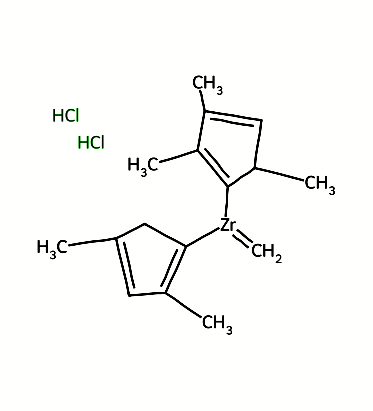 Cl.Cl.[CH2]=[Zr]([C]1=C(C)C=C(C)C1)[C]1=C(C)C(C)=CC1C